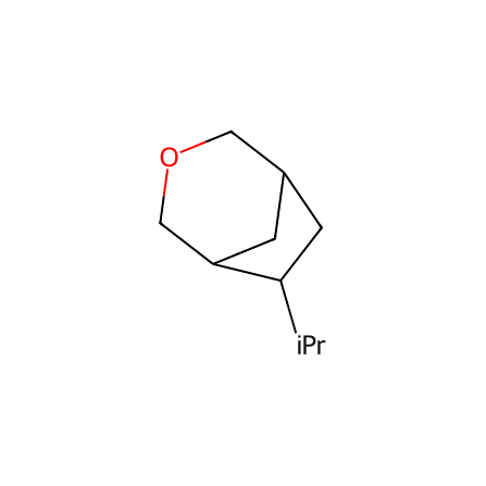 CC(C)C1CC2COCC1C2